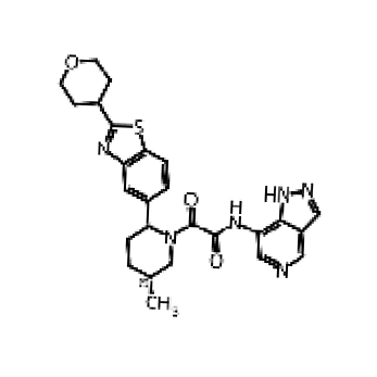 C[C@H]1CCC(c2ccc3sc(C4CCOCC4)nc3c2)N(C(=O)C(=O)Nc2cncc3cn[nH]c23)C1